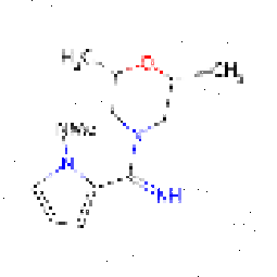 CNn1cccc1C(=N)N1C[C@@H](C)O[C@@H](C)C1